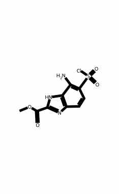 COC(=O)c1nc2ccc(S(=O)(=O)Cl)c(N)c2[nH]1